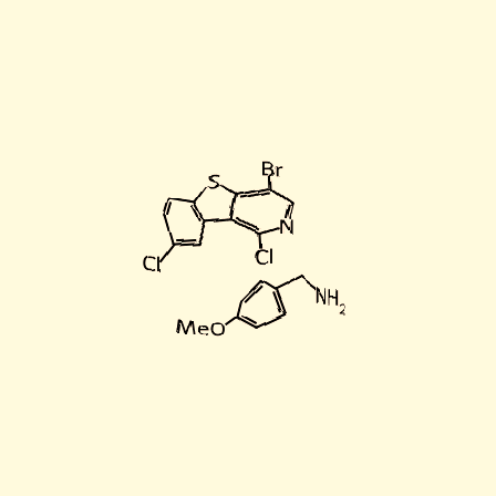 COc1ccc(CN)cc1.Clc1ccc2sc3c(Br)cnc(Cl)c3c2c1